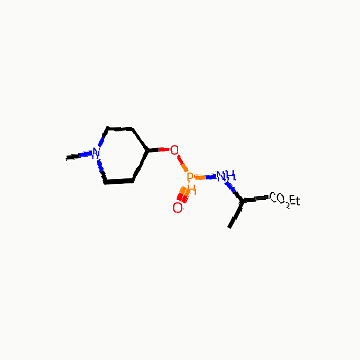 CCOC(=O)C(C)N[PH](=O)OC1CCN(C)CC1